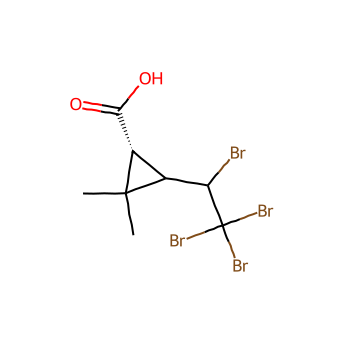 CC1(C)C(C(Br)C(Br)(Br)Br)[C@H]1C(=O)O